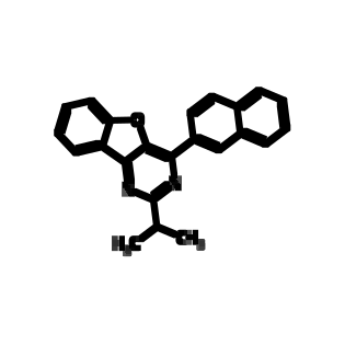 CC(C)c1nc(-c2ccc3ccccc3c2)c2oc3ccccc3c2n1